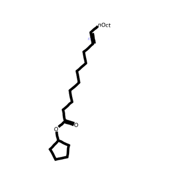 CCCCCCCC/C=C/CCCCCCCC(=O)OC1CCCC1